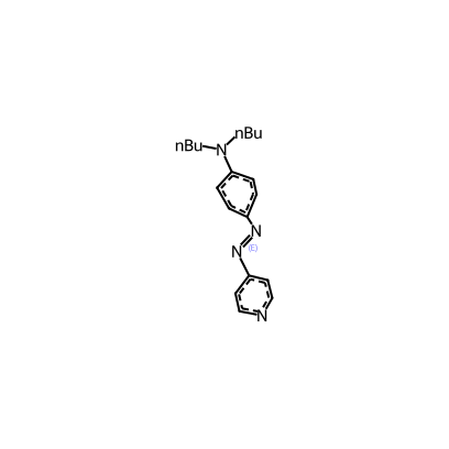 CCCCN(CCCC)c1ccc(/N=N/c2ccncc2)cc1